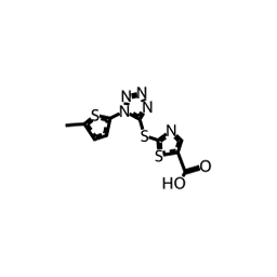 Cc1ccc(-n2nnnc2Sc2ncc(C(=O)O)s2)s1